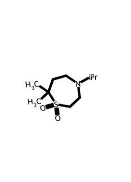 CC(C)N1CCC(C)(C)S(=O)(=O)CC1